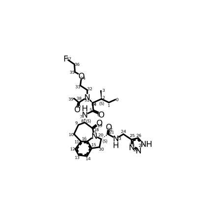 CC[C@H](C)[C@@H](C(=O)N[C@H]1CCc2cccc3c2N(C1=O)[C@H](C(=O)NCc1c[nH]nn1)C3)N(CCOCCF)C(C)=O